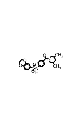 CC1CC(C)CN(C(=O)c2ccc(NS(=O)(=O)c3ccc4c(c3)OCCO4)cc2)C1